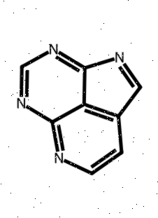 C1=Nc2ncnc3nccc1c23